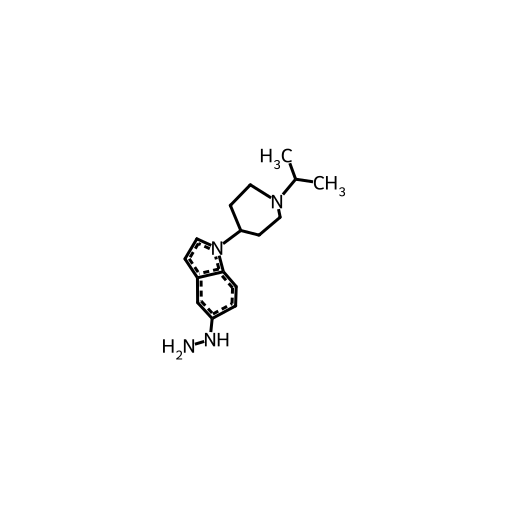 CC(C)N1CCC(n2ccc3cc(NN)ccc32)CC1